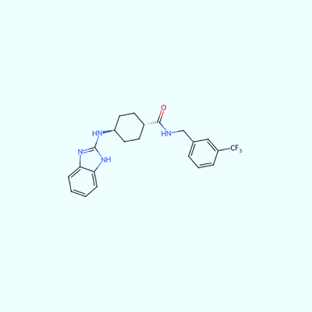 O=C(NCc1cccc(C(F)(F)F)c1)[C@H]1CC[C@H](Nc2nc3ccccc3[nH]2)CC1